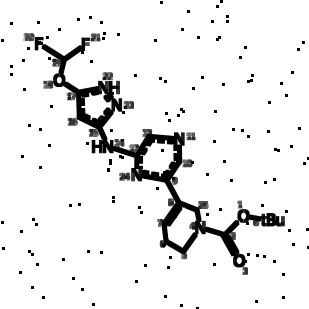 CC(C)(C)OC(=O)N1CCC=C(c2cncc(Nc3cc(OC(F)F)[nH]n3)n2)C1